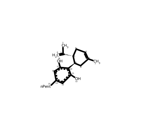 C=C(C)[C@@H]1CC=C(C)C[C@H]1c1c(O)cc(CCCCC)cc1O